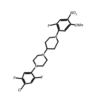 COc1cc(N2CCC(N3CCN(c4cc(F)c(Cl)cc4F)CC3)CC2)c(F)cc1[N+](=O)[O-]